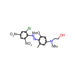 CCCCN(CCO)c1cc(C)c(N=Nc2c(Br)cc([N+](=O)[O-])cc2[N+](=O)[O-])c(OC)c1